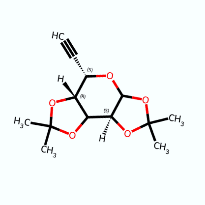 C#C[C@@H]1OC2OC(C)(C)O[C@H]2C2OC(C)(C)O[C@@H]21